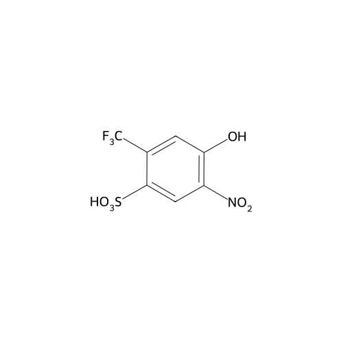 O=[N+]([O-])c1cc(S(=O)(=O)O)c(C(F)(F)F)cc1O